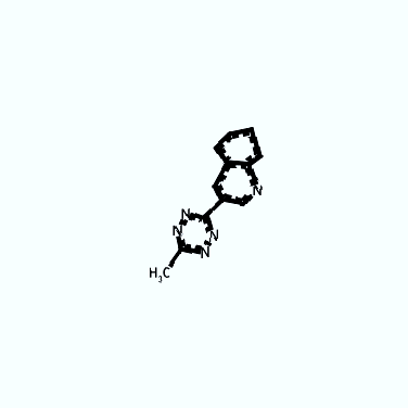 Cc1nnc(-c2cnc3ccccc3c2)nn1